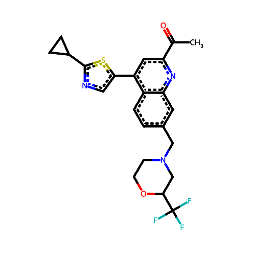 CC(=O)c1cc(-c2cnc(C3CC3)s2)c2ccc(CN3CCOC(C(F)(F)F)C3)cc2n1